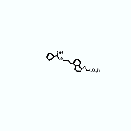 O=C(O)COc1cccc2c(CCCSCC(O)c3ccccc3)cccc12